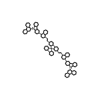 C(=C\c1ccc(-c2ccc3c(c2)c2ccccc2n3-c2cc3ccccc3c3ccccc23)c2ccccc12)/c1ccc2c(c1)C1(c3ccccc3-c3ccccc31)c1cc(/C=C/c3ccc(-c4ccc5c(c4)c4ccccc4n5-c4cc5ccccc5c5ccccc45)c4ccccc34)ccc1-2